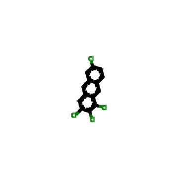 Clc1[c]cc2cc3c(Cl)c(Cl)c(Cl)[c]c3cc2c1